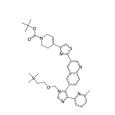 Cc1cccc(-c2ncn(COCC[Si](C)(C)C)c2-c2ccc3ncc(-c4nc(C5=CCN(C(=O)OC(C)(C)C)CC5)cs4)cc3c2)n1